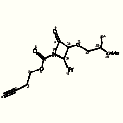 C#CCCOC(=O)N1C(=O)C(OCC(C)OC)C1C(C)C